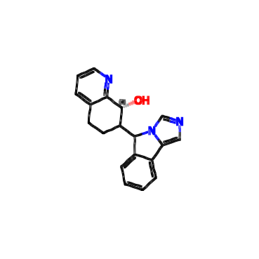 O[C@H]1c2ncccc2CCC1C1c2ccccc2-c2cncn21